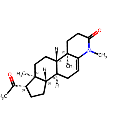 CC(=O)[C@H]1CC[C@H]2[C@@H]3CC=C4N(C)C(=O)CC[C@]4(C)[C@H]3CC[C@]12C